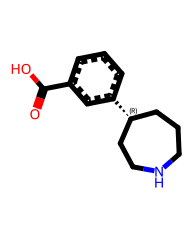 O=C(O)c1cccc([C@@H]2CCCNCC2)c1